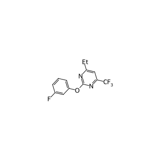 CCc1cc(C(F)(F)F)nc(Oc2cccc(F)c2)n1